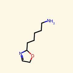 NCCCCCC1N=CCO1